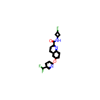 O=C(NC1CC(F)C1)c1ccc2cc(Oc3ccc(C(F)F)cn3)ccc2n1